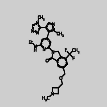 CCNc1cc(-c2c(-c3nncn3C)cnn2C)cc(N2Cc3c(cc(COCC4CN(C)C4)cc3C(C)(F)F)C2=O)n1